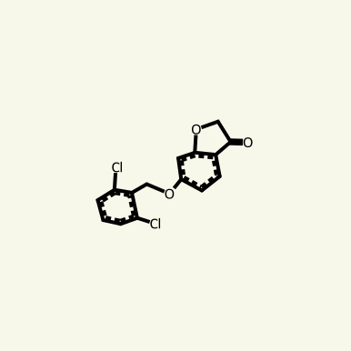 O=C1COc2cc(OCc3c(Cl)cccc3Cl)ccc21